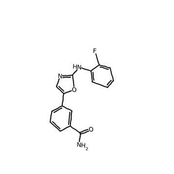 NC(=O)c1cccc(-c2cnc(Nc3ccccc3F)o2)c1